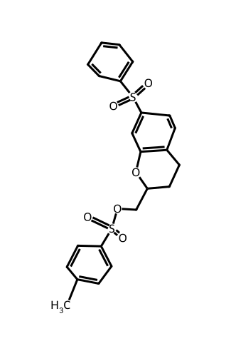 Cc1ccc(S(=O)(=O)OCC2CCc3ccc(S(=O)(=O)c4ccccc4)cc3O2)cc1